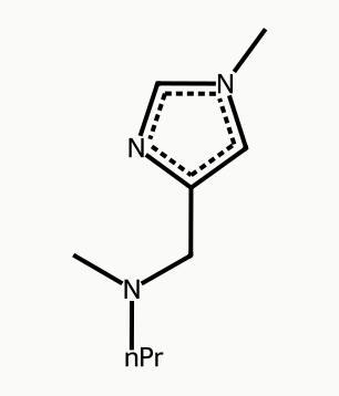 CCCN(C)Cc1cn(C)cn1